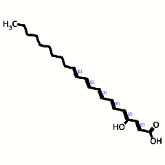 CCCCCCCCC/C=C/C=C/C=C/C=C/C=C(O)/C=C/C(=O)O